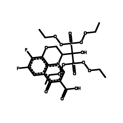 CCOOP(=O)(OOCC)C(O)(C1COc2c(F)c(F)cc3c(=O)c(C(=O)O)cn1c23)P(=O)(OOCC)OOCC